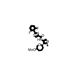 CO[C@@H]1CCC[C@H](c2c(NC(=O)c3csc(-c4c(F)cccc4F)n3)cnn2C)OC1